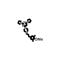 COc1c(C)cc(CCCN2CCN(c3cc(N4CCCC4)nc(N4CCCC4)n3)CC2)cc1C